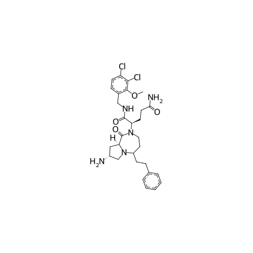 COc1c(CNC(=O)[C@@H](CCC(N)=O)N2CCC(CCc3ccccc3)N3C[C@H](N)C[C@H]3C2=O)ccc(Cl)c1Cl